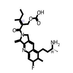 C=C1c2nc3c(cc2CN1C(=O)/C(COC(=O)O)=C(\C)CC)=C(CC[C@@H](C)N)C(C)C(F)C=3